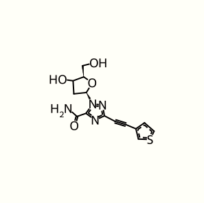 NC(=O)c1nc(C#Cc2ccsc2)nn1[C@H]1CC(O)[C@@H](CO)O1